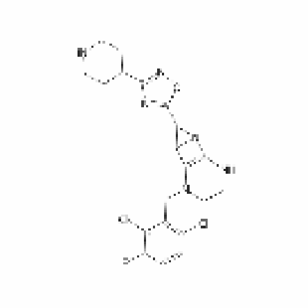 Fc1ccc(Cl)c(CN2CCNc3c2c2c(-c4nc(C5CCNCC5)no4)n3-2)c1Cl